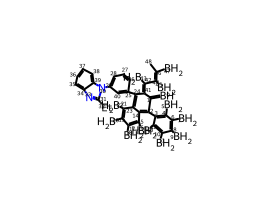 B=c1c(-c2c(B)c(B)c(B)c(B)c2B)c2c(B)c(B)c(B)c(B)c2c(-c2cccc(-n3c(CC)nc4ccccc43)c2)/c1=C(B)/C(B)=C(/B)C